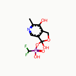 Cc1ncc2c(c1O)COC2(O)OP(=O)(O)C(F)F